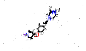 CCN1CCN(C#C[C@H]2CC[C@H](OC3CCN(I)CC3)CC2)CC1C